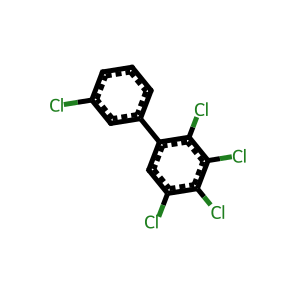 Clc1cccc(-c2cc(Cl)c(Cl)c(Cl)c2Cl)c1